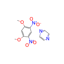 COc1cc(OC)c([N+](=O)[O-])cc1[N+](=O)[O-].c1cnccn1